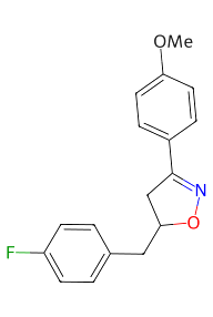 COc1ccc(C2=NOC(Cc3ccc(F)cc3)C2)cc1